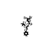 CCC(C)(C)COC(COC(=O)c1cc(Br)c(Br)s1)COc1ccccc1